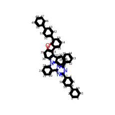 c1ccc(-c2ccc(-c3nc(-c4ccccc4)nc(-c4ccccc4-n4c5ccccc5c5c6c(ccc54)oc4c(-c5ccc(-c7ccccc7)cc5)cccc46)n3)cc2)cc1